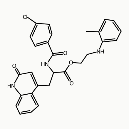 Cc1ccccc1NCCOC(=O)C(Cc1cc(=O)[nH]c2ccccc12)NC(=O)c1ccc(Cl)cc1